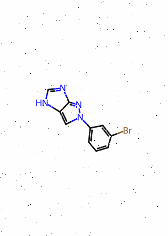 Brc1cccc(-n2cc3[nH][c]nc3n2)c1